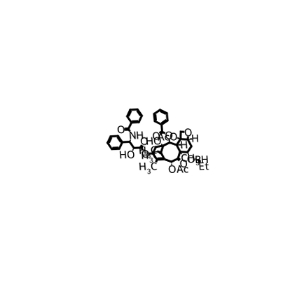 CCBO[C@H]1C[C@H]2OC[C@@]2(OC(C)=O)[C@H]2[C@H](OC(=O)c3ccccc3)[C@]3(O)CC(OC(=O)[C@H](O)[C@@H](NC(=O)c4ccccc4)c4ccccc4)C(C)=C([C@@H](OC(C)=O)C(=O)[C@]12C)C3(C)C